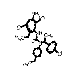 CCc1ccc(N(C(=O)Nc2c(CC)c(N)cc(Cl)c2CC)C(C)c2ccc(Cl)cc2)cc1